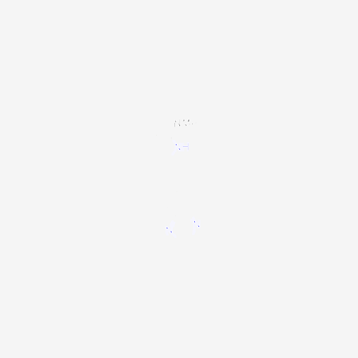 CNC(=S)NCCCSCc1cnccn1